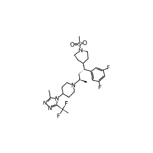 Cc1nnc(C(C)(F)F)n1C1CCN([C@H](C)C[C@@H](c2cc(F)cc(F)c2)C2CCN(S(C)(=O)=O)CC2)CC1